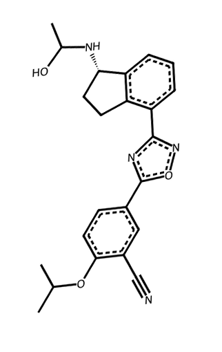 CC(O)N[C@H]1CCc2c(-c3noc(-c4ccc(OC(C)C)c(C#N)c4)n3)cccc21